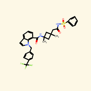 CC1(CC(=O)NS(=O)(=O)c2ccccc2)CC(C)(NC(=O)c2cccc3ccn(Cc4ccc(C(F)(F)F)cc4)c23)C1